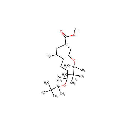 COC(=O)[C@H](CCO[Si](C)(C)C(C)(C)C)CC(C)CCCC(C)(C)O[Si](C)(C)C(C)(C)C